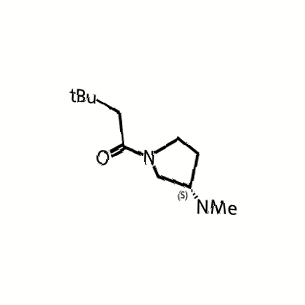 CN[C@H]1CCN(C(=O)CC(C)(C)C)C1